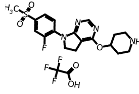 CS(=O)(=O)c1ccc(N2CCc3c(OC4CCNCC4)ncnc32)c(F)c1.O=C(O)C(F)(F)F